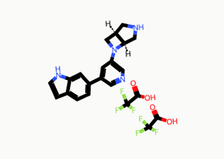 O=C(O)C(F)(F)F.O=C(O)C(F)(F)F.c1cc2ccc(-c3cncc(N4C[C@H]5CNC[C@H]54)c3)cc2[nH]1